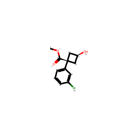 COC(=O)[C@]1(c2cccc(Br)c2)C[C@H](O)C1